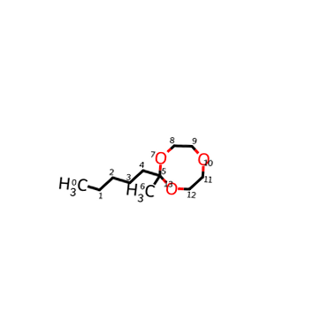 CCCCCC1(C)OCCOCCO1